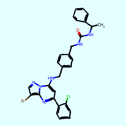 CC(NC(=O)NCc1ccc(CNc2cc(-c3ccccc3Cl)nc3c(Br)cnn23)cc1)c1ccccc1